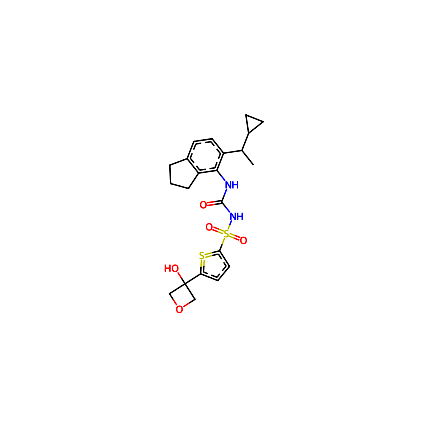 CC(c1ccc2c(c1NC(=O)NS(=O)(=O)c1ccc(C3(O)COC3)s1)CCC2)C1CC1